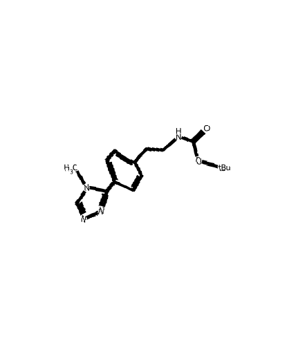 Cn1cnnc1-c1ccc(CCNC(=O)OC(C)(C)C)cc1